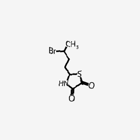 CC(Br)CCC1NC(=O)C(=O)S1